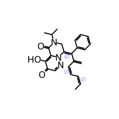 C=C(/C=C\C=C/C)/C(=C1/CN(C(C)C)C(=O)c2c(O)c(=O)cnn21)c1ccccc1